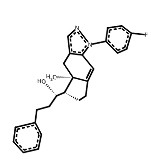 C[C@]12Cc3cnn(-c4ccc(F)cc4)c3C=C1CC[C@@H]2[C@@H](O)CCc1ccccc1